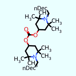 CCCCCCCCCCCN1C(C)(C)CC(OC(=O)OC2CC(C)(C)N(CCCCCCCCCCC)C(C)(C)C2)CC1(C)C